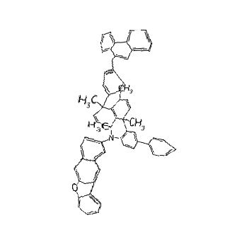 CC1C=CC2(C)C3=C1C(C)(c1ccc(-c4cc5ccccc5c5ccccc45)cc1)C=CC3(C)N(c1ccc3cc4oc5ccccc5c4cc3c1)c1ccc(-c3ccccc3)cc12